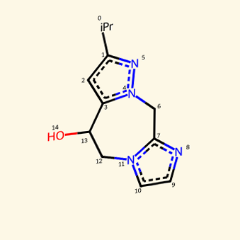 CC(C)c1cc2n(n1)Cc1nccn1CC2O